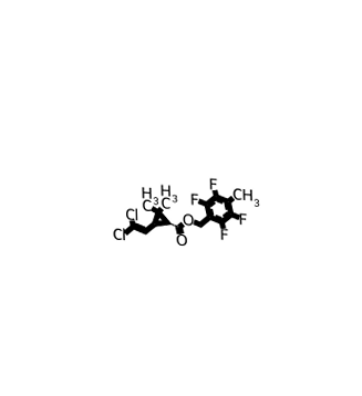 Cc1c(F)c(F)c(COC(=O)[C@@H]2C(C=C(Cl)Cl)C2(C)C)c(F)c1F